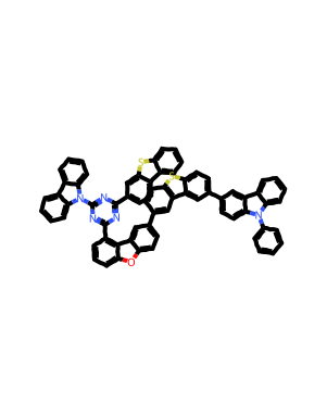 c1ccc(-n2c3ccccc3c3cc(-c4ccc5sc6ccc(-c7ccc8oc9cccc(-c%10nc(-c%11ccc%12c(c%11)sc%11ccccc%11%12)nc(-n%11c%12ccccc%12c%12ccccc%12%11)n%10)c9c8c7)cc6c5c4)ccc32)cc1